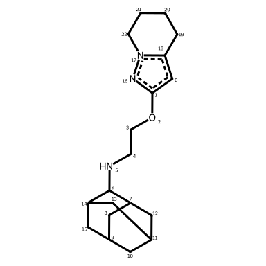 c1c(OCCNC2C3CC4CC(C3)CC2C4)nn2c1CCCC2